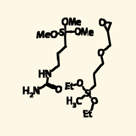 CCO[Si](C)(CCCOCC1CO1)OCC.CO[Si](CCCNC(N)=O)(OC)OC